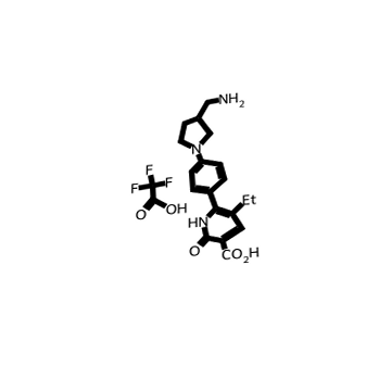 CCc1cc(C(=O)O)c(=O)[nH]c1-c1ccc(N2CCC(CN)C2)cc1.O=C(O)C(F)(F)F